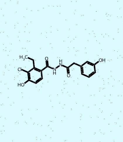 CCc1c(C(=O)NNC(=O)Cc2cccc(O)c2)ccc(O)c1Cl